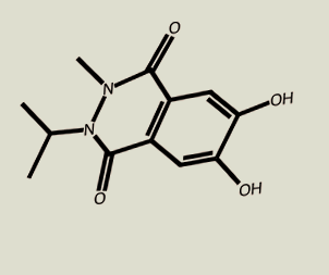 CC(C)n1c(=O)c2cc(O)c(O)cc2c(=O)n1C